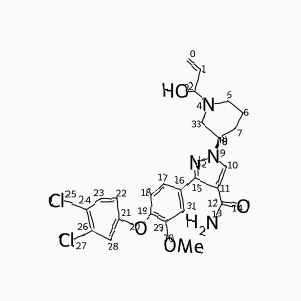 C=CC(O)N1CCC[C@@H](n2cc(C(N)=O)c(-c3ccc(Oc4ccc(Cl)c(Cl)c4)c(OC)c3)n2)C1